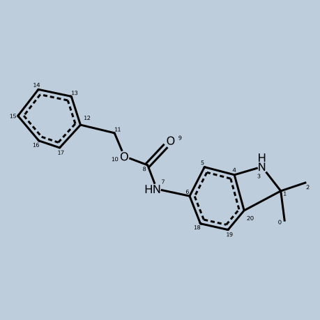 CC1(C)Nc2cc(NC(=O)OCc3ccccc3)ccc21